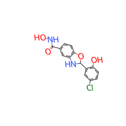 O=C(NO)c1ccc2c(c1)NC(c1cc(Cl)ccc1O)O2